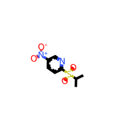 CC(C)S(=O)(=O)c1ccc([N+](=O)[O-])cn1